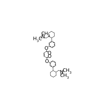 CN(C)CC1CCCCC1c1cccc(OC(=O)/C=C\C(=O)Oc2cccc(C3CCCCC3CN(C)C)c2)c1